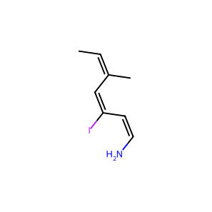 C\C=C(C)/C=C(I)\C=C/N